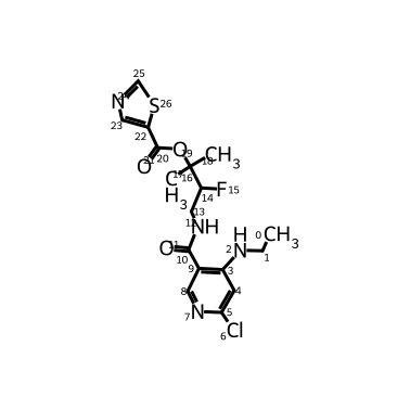 CCNc1cc(Cl)ncc1C(=O)NCC(F)C(C)(C)OC(=O)c1cncs1